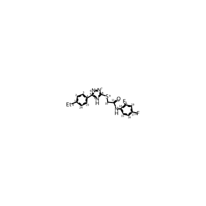 CCc1ccc(-c2nnc(SCC(=O)Nc3ccc(F)cc3F)[nH]2)cc1